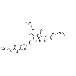 C=CCOC(=O)Nc1ccc(OCC2=C(C(=O)OCC=C)N3C(=O)[C@H]([C@@H](C)OC(=O)OCC=C)[C@H]3S2)cc1